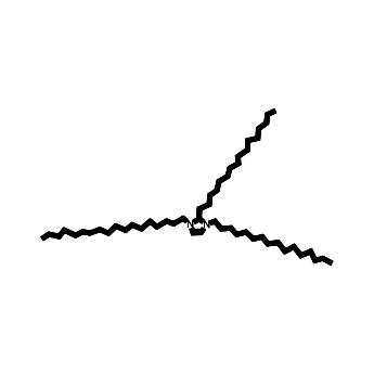 CCCCCCCCCCCCCCCCCCN1C=CN(CCCCCCCCCCCCCCCC)C1CCCCCCCCCCCCCCCC